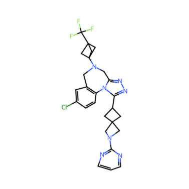 FC(F)(F)C12CC(N3Cc4cc(Cl)ccc4-n4c(nnc4C4CC5(C4)CN(c4ncccn4)C5)C3)(C1)C2